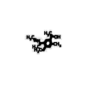 C=N/N=C(\C)c1cc(C(=C)O)c(C)cc1CC